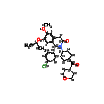 COc1cc2c(cc1OC(C)C)[C@@H](c1ccc(Cl)cc1)N([C@H]1CC[C@H](C(=O)C3CCOCC3)CC1)C(=O)C2